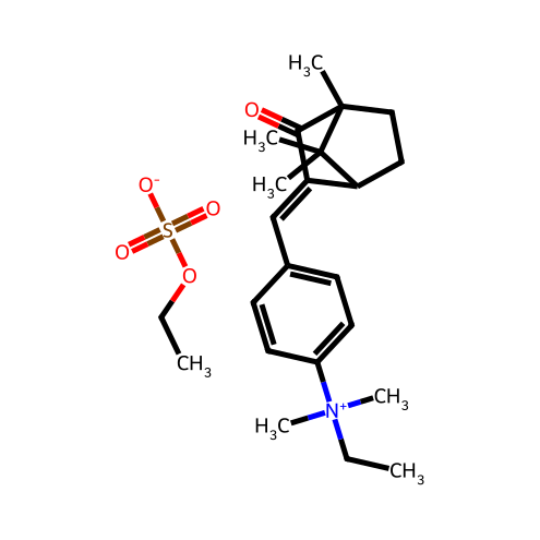 CCOS(=O)(=O)[O-].CC[N+](C)(C)c1ccc(C=C2C(=O)C3(C)CCC2C3(C)C)cc1